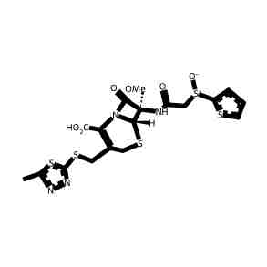 CO[C@@]1(NC(=O)C[S+]([O-])c2cccs2)C(=O)N2C(C(=O)O)=C(CSc3nnc(C)s3)CS[C@H]21